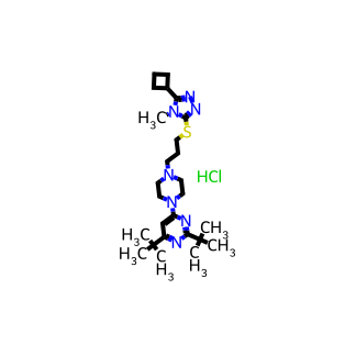 Cl.Cn1c(SCCCN2CCN(c3cc(C(C)(C)C)nc(C(C)(C)C)n3)CC2)nnc1C1CCC1